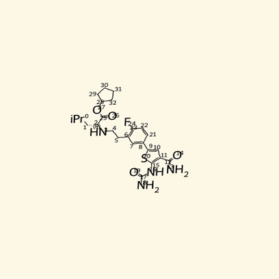 CC(C)C[C@@H](NCCc1cc(-c2cc(C(N)=O)c(NC(N)=O)s2)ccc1F)C(=O)OC1CCCC1